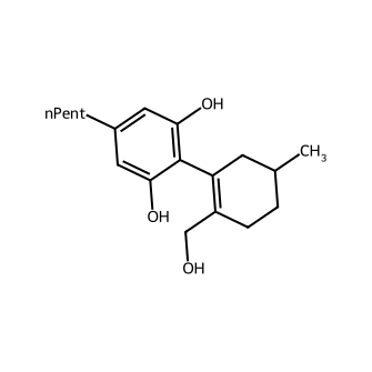 CCCCCc1cc(O)c(C2=C(CO)CCC(C)C2)c(O)c1